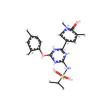 Cc1ccc(Oc2nc(NS(=O)(=O)C(C)C)nc(-c3cc(C)c(=O)n(C)c3)n2)c(C)c1